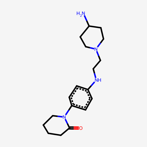 NC1CCN(CCNc2ccc(N3CCCCC3=O)cc2)CC1